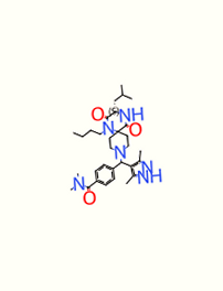 CCCCN1C(=O)[C@H](CC(C)C)NC(=O)C12CCN(C(c1ccc(C(=O)N(C)C)cc1)c1c(C)n[nH]c1C)CC2